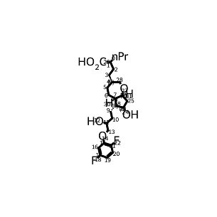 CCCC(CC[C@@H]1CC[C@@H]2[C@@H](CCC(O)COc3cc(F)ccc3F)[C@H](O)C[C@@H]2OC1)C(=O)O